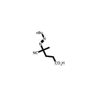 CCCCN=NC(C)(C#N)CCC(=O)O